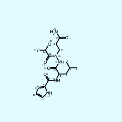 CC(C)CC(NC(=O)c1ncc[nH]1)C(=O)NN(CCC(N)=O)C(=O)C(F)Cl